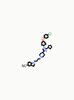 N#Cc1ccc2c(ccn2CCCCN2CCC(c3cn(-c4ccc(Oc5ccc(Cl)cc5)cc4)c(C4CCCC4)n3)CC2)c1